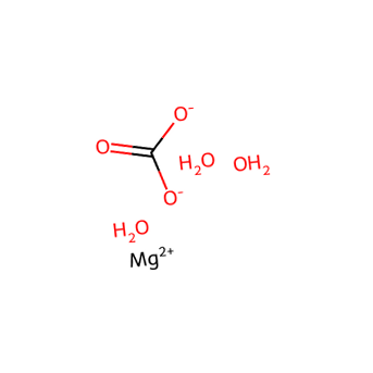 O.O.O.O=C([O-])[O-].[Mg+2]